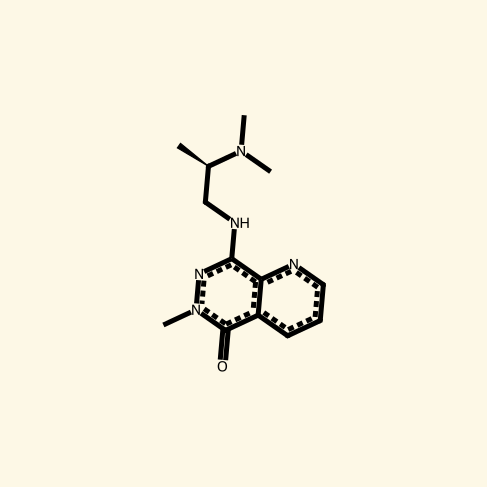 C[C@H](CNc1nn(C)c(=O)c2cccnc12)N(C)C